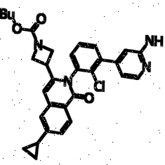 CC(C)(C)OC(=O)N1CC(c2cc3cc(C4CC4)ccc3c(=O)n2-c2cccc(-c3ccnc(N)c3)c2Cl)C1